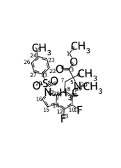 CCOC(=O)C(C)(Cc1cc(F)c(F)c2ccn(S(=O)(=O)c3ccc(C)cc3)c12)N(C)C